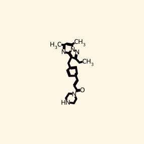 CCc1nn2c(C)cc(C)nc2c1Cc1ccc(C=CC(=O)N2CCNCC2)cc1